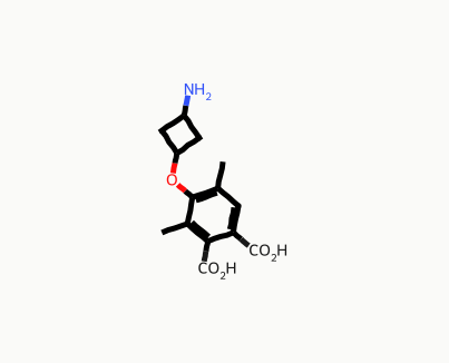 Cc1cc(C(=O)O)c(C(=O)O)c(C)c1OC1CC(N)C1